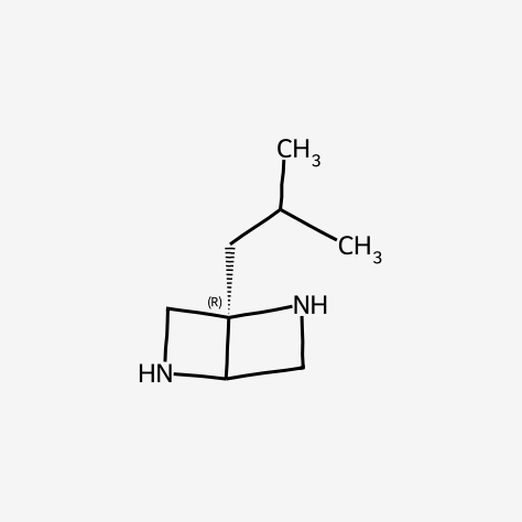 CC(C)C[C@@]12CNC1CN2